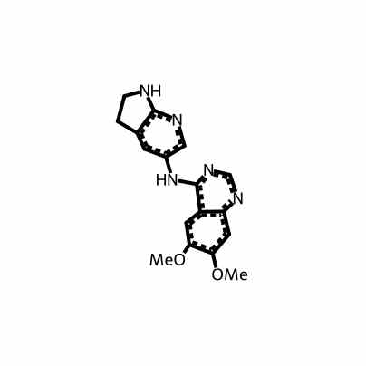 COc1cc2ncnc(Nc3cnc4c(c3)CCN4)c2cc1OC